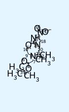 CC(C)(C)OC(=O)CN1CCOc2nc([N+](=O)[O-])cn2CC1(C)C